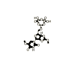 COc1cn([C@@H]2O[C@H](COP3OP(=O)(O)OP(=O)(O)O3)[C@@H]3OC(OC)OC32)c(=O)[nH]c1=O